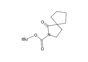 CC(C)(C)OC(=O)N1CCC2(CCCC2)C1=O